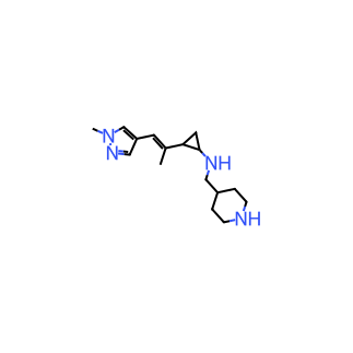 C/C(=C\c1cnn(C)c1)C1CC1NCC1CCNCC1